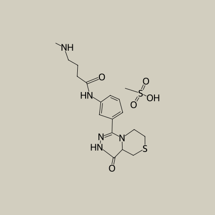 CNCCCC(=O)Nc1cccc(C2=NNC(=O)C3CSCCN23)c1.CS(=O)(=O)O